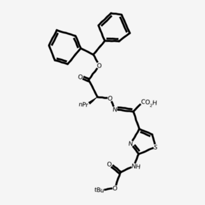 CCC[C@H](O/N=C(\C(=O)O)c1csc(NC(=O)OC(C)(C)C)n1)C(=O)OC(c1ccccc1)c1ccccc1